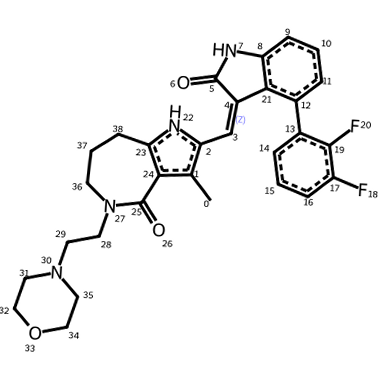 Cc1c(/C=C2\C(=O)Nc3cccc(-c4cccc(F)c4F)c32)[nH]c2c1C(=O)N(CCN1CCOCC1)CCC2